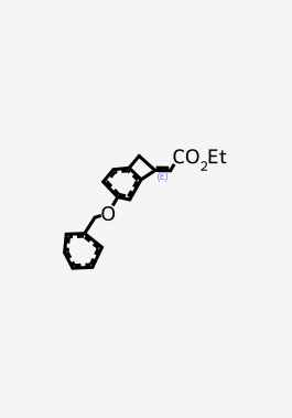 CCOC(=O)/C=C1\Cc2ccc(OCc3ccccc3)cc21